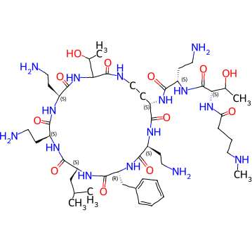 CNCCCC(=O)N[C@H](C(=O)N[C@@H](CCN)C(=O)N[C@H]1CCNC(=O)C(C(C)O)NC(=O)[C@H](CCN)NC(=O)[C@H](CCN)NC(=O)[C@H](CC(C)C)NC(=O)[C@@H](Cc2ccccc2)NC(=O)[C@H](CCN)NC1=O)C(C)O